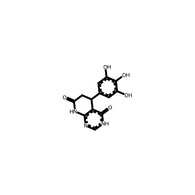 O=C1CC(c2cc(O)c(O)c(O)c2)c2c(nc[nH]c2=O)N1